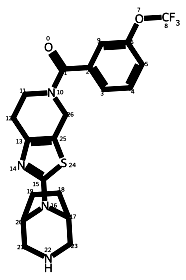 O=C(c1cccc(OC(F)(F)F)c1)N1CCc2nc(N3C4CCC3CNC4)sc2C1